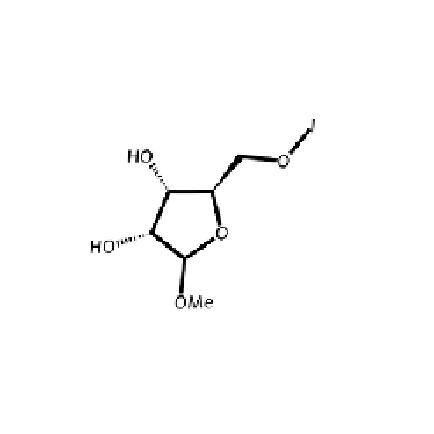 COC1O[C@H](COI)[C@@H](O)[C@H]1O